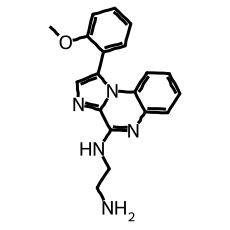 COc1ccccc1-c1cnc2c(NCCN)nc3ccccc3n12